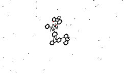 c1ccc(-c2nc(-c3ccc(-n4c5ccccc5c5ccc(-c6cccc7sc8ccccc8c67)cc54)cc3)nc(-c3cccc4oc5ccccc5c34)n2)cc1